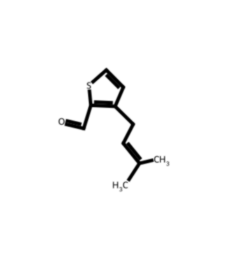 CC(C)=CCc1ccsc1C=O